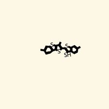 Cc1ccc2c(S)c(-c3sc4c(sc5cc(C)ccc54)c3C)sc2c1